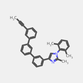 CC#Cc1cccc(-c2cccc(-c3cccc(-c4cn(-c5c(C)cccc5C)c(C)n4)c3)c2)c1